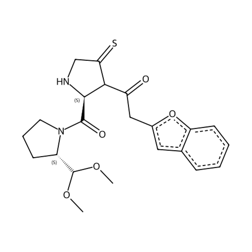 COC(OC)[C@@H]1CCCN1C(=O)[C@H]1NCC(=S)C1C(=O)Cc1cc2ccccc2o1